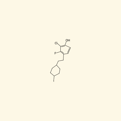 Oc1ccc(CCC2CCC(I)CC2)c(F)c1Cl